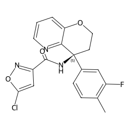 Cc1ccc([C@@]2(NC(=O)c3cc(Cl)on3)CCOc3cccnc32)cc1F